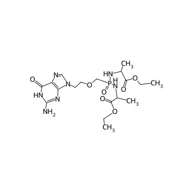 CCOC(=O)C(C)NP(=O)(COCCn1cnc2c(=O)[nH]c(N)nc21)NC(C)C(=O)OCC